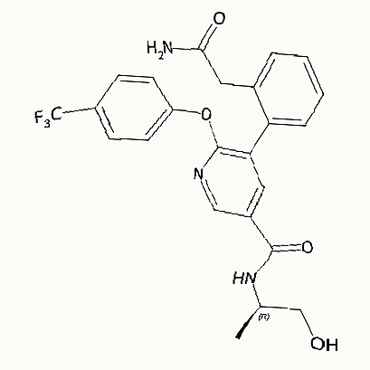 C[C@H](CO)NC(=O)c1cnc(Oc2ccc(C(F)(F)F)cc2)c(-c2ccccc2CC(N)=O)c1